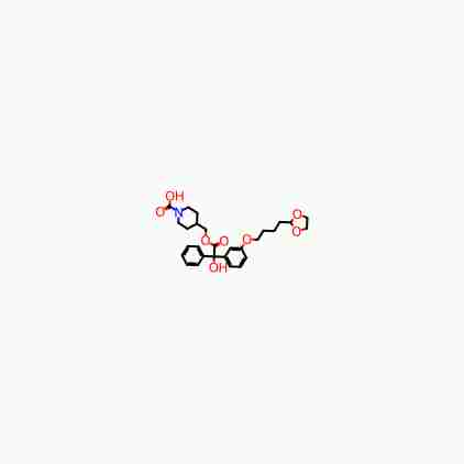 O=C(O)N1CCC(COC(=O)C(O)(c2ccccc2)c2cccc(OCCCCC3OCCO3)c2)CC1